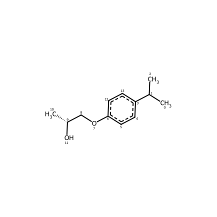 CC(C)c1ccc(OC[C@@H](C)O)cc1